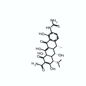 C[C@H]1c2ccc(NC(N)=S)c(O)c2C(=O)C2=C(O)[C@]3(O)C(=O)C(C(N)=O)=C(O)[C@@H](N(C)C)C3[C@@H](O)C21